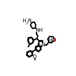 COc1ccccc1-c1ccc2c(c1)c(C(CCNC1CCC(N)CC1)c1cccc(C)c1)cn2CC1CCCCC1.Cl